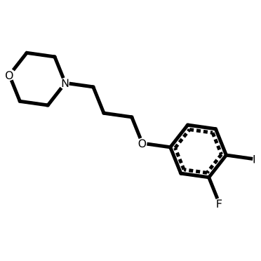 Fc1cc(OCCCN2CCOCC2)ccc1I